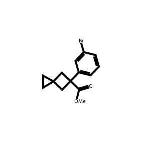 COC(=O)C1(c2cccc(Br)c2)CC2(CC2)C1